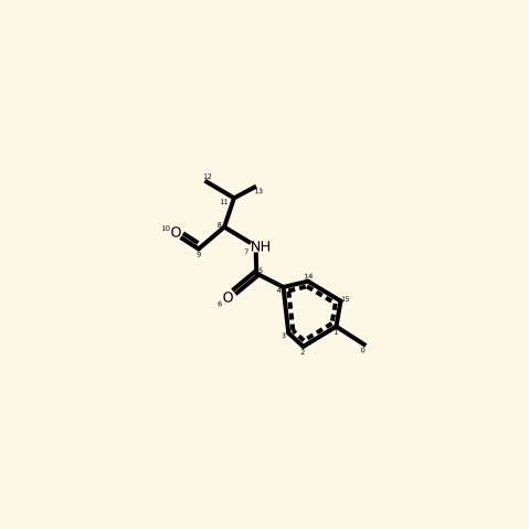 Cc1ccc(C(=O)NC(C=O)C(C)C)cc1